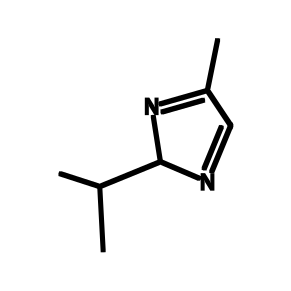 CC1=NC(C(C)C)N=C1